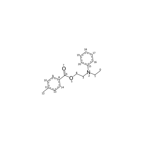 CCN(CCOC(=O)c1ccc(C)cc1)c1ccccc1